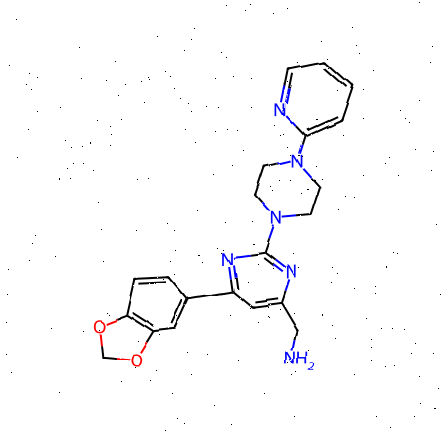 NCc1cc(-c2ccc3c(c2)OCO3)nc(N2CCN(c3ccccn3)CC2)n1